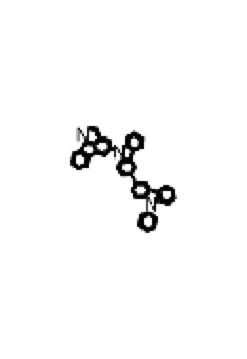 c1ccc(-n2c3ccccc3c3cc(-c4ccc5c(c4)c4ccccc4n5-c4cc5c6c(nccc6c4)-c4ccccc4-5)ccc32)cc1